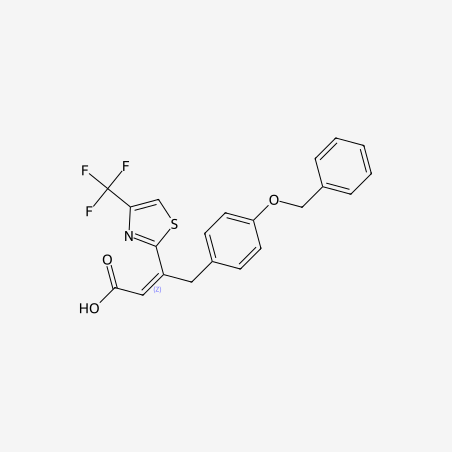 O=C(O)/C=C(/Cc1ccc(OCc2ccccc2)cc1)c1nc(C(F)(F)F)cs1